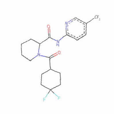 O=C(Nc1ccc(C(F)(F)F)cn1)C1CCCCN1C(=O)C1CCC(F)(F)CC1